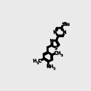 Cc1cc(Cc2nc(-c3cnc(C(C)(C)C)cn3)cs2)c(C)cc1N